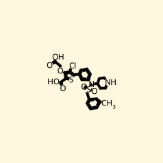 Cc1cccc(CS(=O)(=O)N(c2cccc(-c3sc(C(=O)O)c(OCC(=O)O)c3Cl)c2)C2CCNCC2)c1